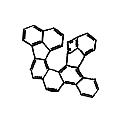 c1cc2c3c(cccc3c1)-c1c-2ccc2ccc3c4ccccc4c4c(c3c12)-c1cccc2cccc-4c12